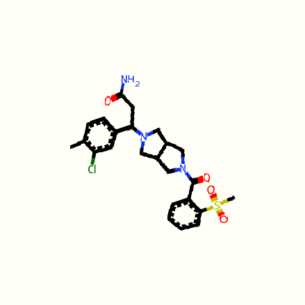 Cc1ccc(C(CC(N)=O)N2CC3CN(C(=O)c4ccccc4S(C)(=O)=O)CC3C2)cc1Cl